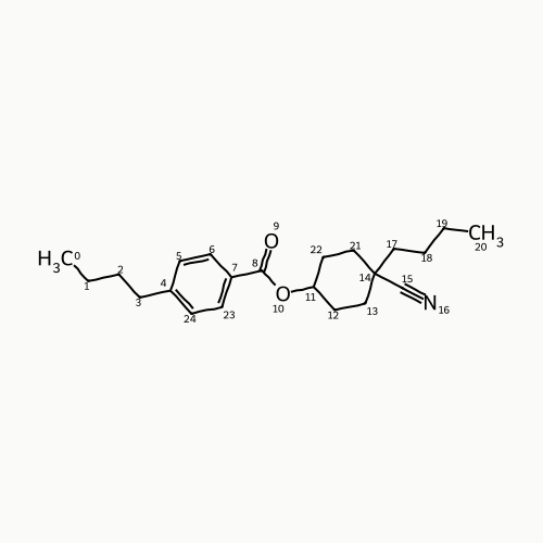 CCCCc1ccc(C(=O)OC2CCC(C#N)(CCCC)CC2)cc1